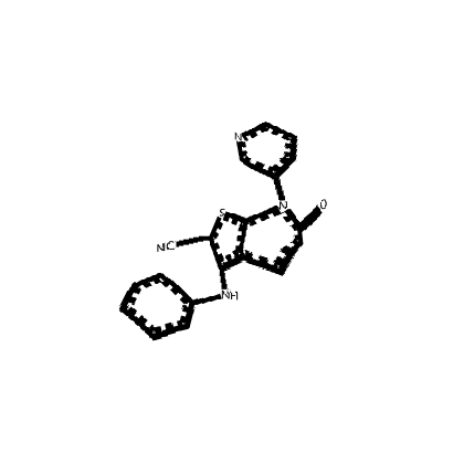 N#Cc1sc2c(ccc(=O)n2-c2cccnc2)c1Nc1ccccc1